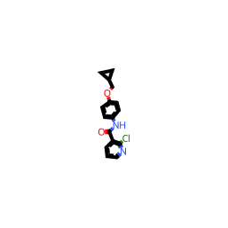 O=C(Nc1ccc(OCC2CC2)cc1)c1cccnc1Cl